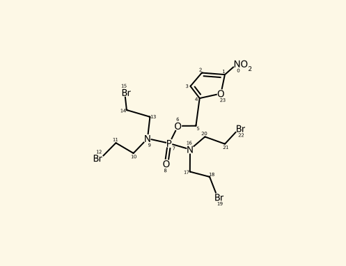 O=[N+]([O-])c1ccc(COP(=O)(N(CCBr)CCBr)N(CCBr)CCBr)o1